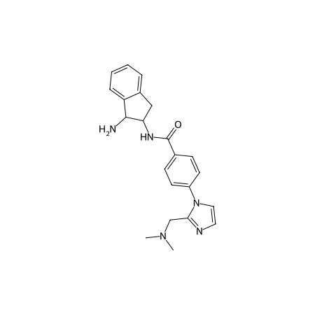 CN(C)Cc1nccn1-c1ccc(C(=O)NC2Cc3ccccc3C2N)cc1